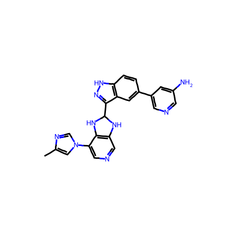 Cc1cn(-c2cncc3c2NC(c2n[nH]c4ccc(-c5cncc(N)c5)cc24)N3)cn1